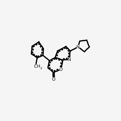 Cc1ccccc1-c1cc(=O)oc2nc(N3CCCC3)ccc12